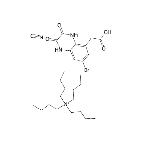 CCCC[N+](CCCC)(CCCC)CCCC.O=C(O)Cc1cc(Br)cc2[nH]c(=O)c(=O)[nH]c12.[C-]#N